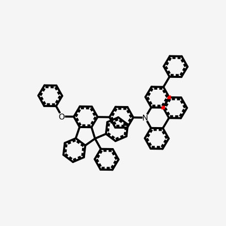 c1ccc(Oc2ccc(-c3ccc(N(c4ccc(-c5ccccc5)cc4)c4ccccc4-c4ccccc4)cc3)c3c2-c2ccccc2C3(c2ccccc2)c2ccccc2)cc1